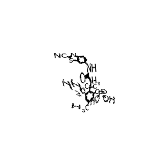 Cc1cc(C)c(C(C)(C)CC(=O)Nc2ccc3nc(C#N)sc3c2)c(OP(=O)(O)O)c1